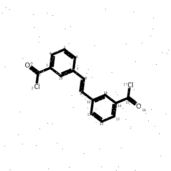 O=C(Cl)c1cccc(C=Cc2cccc(C(=O)Cl)c2)c1